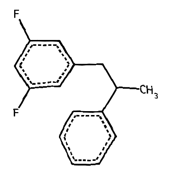 CC(Cc1cc(F)cc(F)c1)c1ccccc1